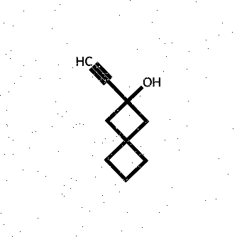 C#CC1(O)CC2(CCC2)C1